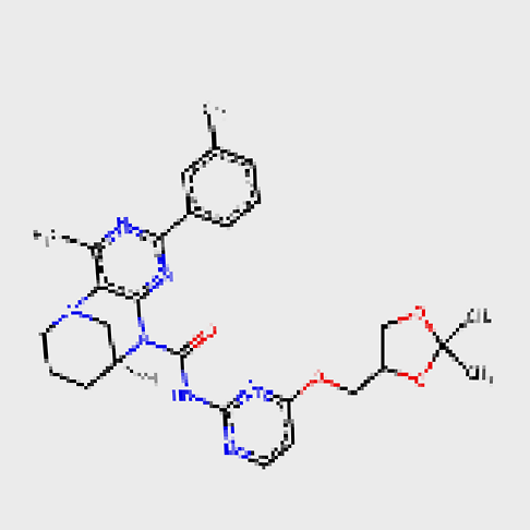 Cc1nc(-c2cccc(C(F)(F)F)c2)nc2c1N1CCC[C@@H](C1)N2C(=O)Nc1nccc(OCC2COC(C)(C)O2)n1